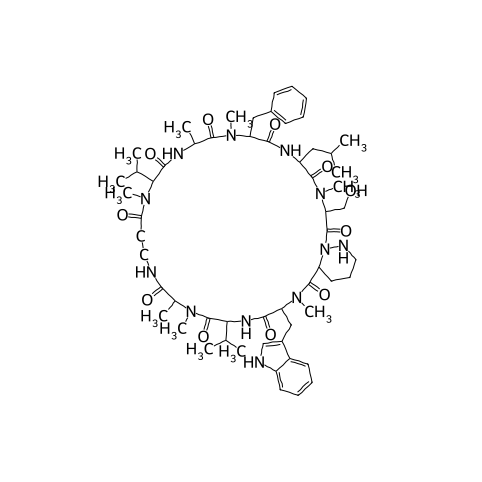 CC(C)CC1NC(=O)C(Cc2ccccc2)N(C)C(=O)C(C)NC(=O)C(C(C)C)N(C)C(=O)CCNC(=O)C(C)N(C)C(=O)C(C(C)C)NC(=O)C(Cc2c[nH]c3ccccc23)N(C)C(=O)C2CCCNN2C(=O)C(CO)N(C)C1=O